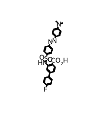 CN(C)c1ccc(N=Nc2ccc(S(=O)(=O)Nc3cc(-c4ccc(F)cc4)ccc3C(=O)O)cc2)cc1